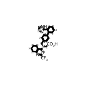 O=C(O)CN(Cc1ccc(-c2ccccc2-c2nnn[nH]2)cc1)c1nc(C(F)(F)F)nc2c1CCCC2